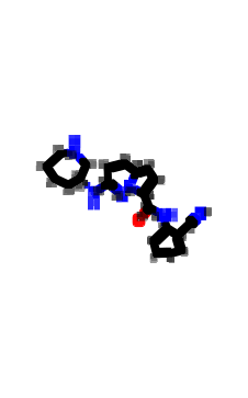 N#Cc1ccccc1NC(=O)c1ccc2ccc(N[C@@H]3CCCCNC3)nn12